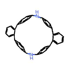 c1ccc2c(c1)-c1ccc(cc1)Nc1ccc(cc1)-c1ccccc1-c1ccc(cc1)Nc1ccc-2cc1